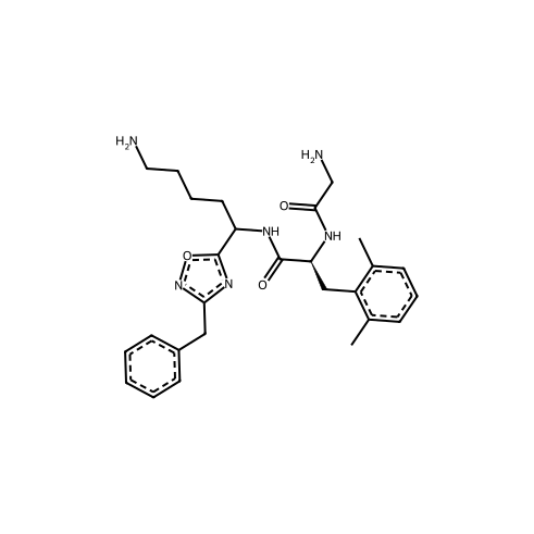 Cc1cccc(C)c1C[C@H](NC(=O)CN)C(=O)NC(CCCCN)c1nc(Cc2ccccc2)no1